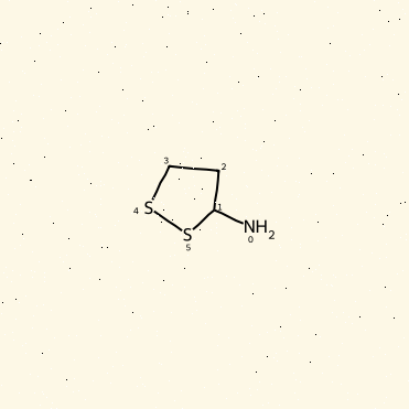 NC1CCSS1